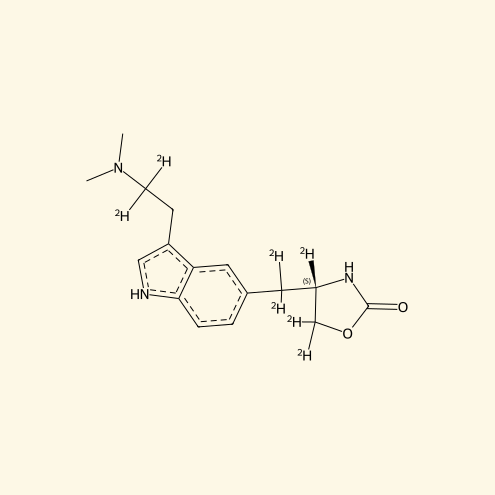 [2H]C([2H])(Cc1c[nH]c2ccc(C([2H])([2H])[C@]3([2H])NC(=O)OC3([2H])[2H])cc12)N(C)C